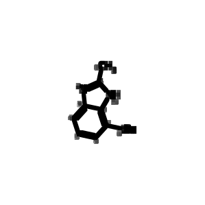 Cc1nc2cccc(C(C)(C)C)c2[nH]1